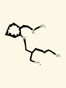 CCCCC(CC)COc1ccccc1C[SiH2]C